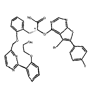 O=C(O)[C@@H](Cc1ccccc1OCc1ccnc(-c2ccccc2OCCO)n1)Oc1ncnc2sc(-c3ccc(F)cc3)c(Br)c12